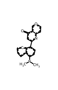 CN(C)c1ccc(-c2cc(=O)c3coccc-3n2)c2ccccc12